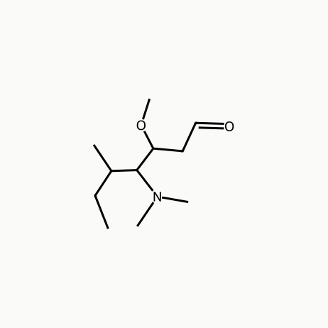 CCC(C)C(C(CC=O)OC)N(C)C